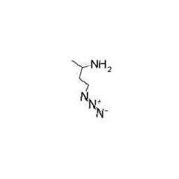 CC(N)CCN=[N+]=[N-]